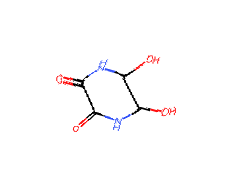 O=C1NC(O)C(O)NC1=O